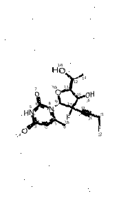 Cc1cc(=O)[nH]c(=O)n1[C@@H]1OC([C@H](C)O)C(O)[C@]1(F)C#CCF